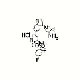 Cl.NC1CN(c2ccnc3ccc(-c4cnc(Cl)c(NS(=O)(=O)c5ccc(F)cc5F)c4)cc23)CC12CC2